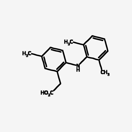 Cc1ccc(Nc2c(C)cccc2C)c(CC(=O)O)c1